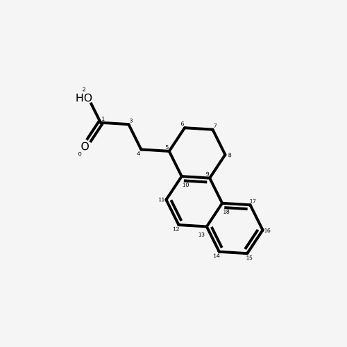 O=C(O)CCC1CCCc2c1ccc1ccccc21